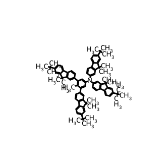 Cc1c(-c2ccc3c(c2)C(C)(C)c2cc(C(C)(C)C)ccc2-3)cc(N(c2ccc3c(c2)C(C)(C)c2cc(C(C)(C)C)ccc2-3)c2ccc3c(c2)C(C)(C)c2cc(C(C)(C)C)ccc2-3)cc1-c1ccc2c(c1)C(C)(C)c1cc(C(C)(C)C)ccc1-2